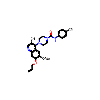 C=CCOc1cc2ncc(C#N)c(N3CCN(C(=O)Nc4ccc(C#N)cc4)CC3)c2cc1OC